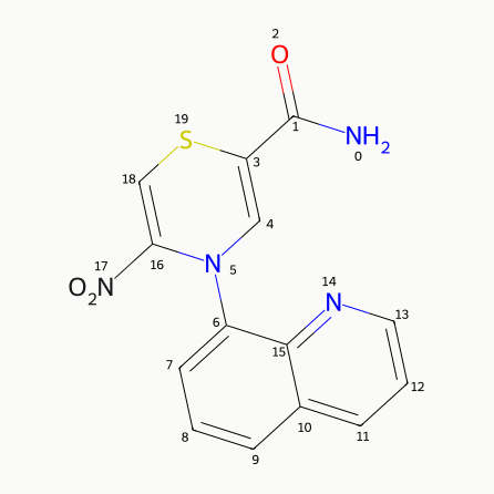 NC(=O)C1=CN(c2cccc3cccnc23)C([N+](=O)[O-])=CS1